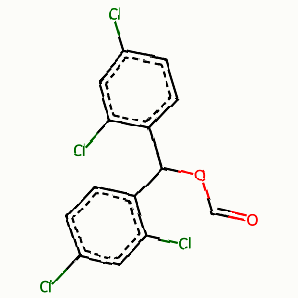 O=COC(c1ccc(Cl)cc1Cl)c1ccc(Cl)cc1Cl